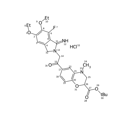 CCOc1cc2c(c(F)c1OCC)C(=N)N(CC(=O)c1ccc3c(c1)N(C)CC(C(=O)OC(C)(C)C)O3)C2.Cl